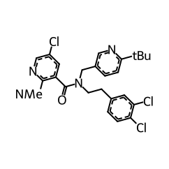 CNc1ncc(Cl)cc1C(=O)N(CCc1ccc(Cl)c(Cl)c1)Cc1ccc(C(C)(C)C)nc1